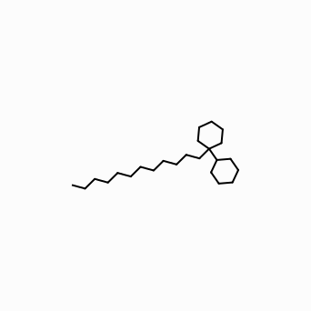 CCCCCCCCCCCCC1(C2CCCCC2)CCCCC1